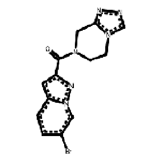 O=C(c1cc2ccc(Br)cn2n1)N1CCn2cnnc2C1